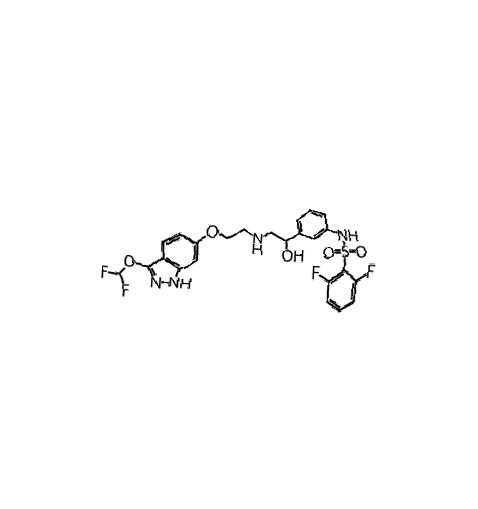 O=S(=O)(Nc1cccc(C(O)CNCCOc2ccc3c(OC(F)F)n[nH]c3c2)c1)c1c(F)cccc1F